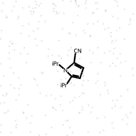 CC(C)c1ccc(C#N)n1C(C)C